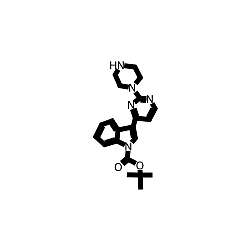 CC(C)(C)OC(=O)n1cc(-c2ccnc(N3CCNCC3)n2)c2ccccc21